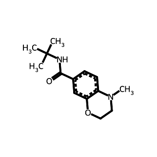 CN1CCOc2cc(C(=O)NC(C)(C)C)ccc21